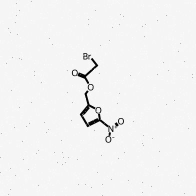 O=C(CBr)OCc1ccc([N+](=O)[O-])o1